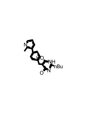 CCCCc1nc(=O)c(Cc2ccc(-c3cccnc3C)cc2)c(O)[nH]1